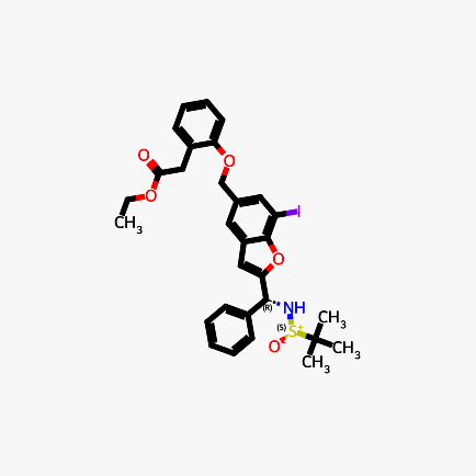 CCOC(=O)Cc1ccccc1OCc1cc(I)c2oc([C@H](N[S@+]([O-])C(C)(C)C)c3ccccc3)cc2c1